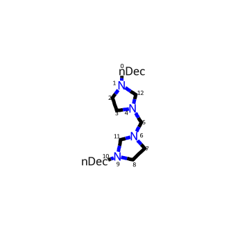 CCCCCCCCCCN1CCN(CN2CCN(CCCCCCCCCC)C2)C1